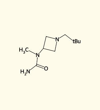 CN(C(N)=O)C1CN(CC(C)(C)C)C1